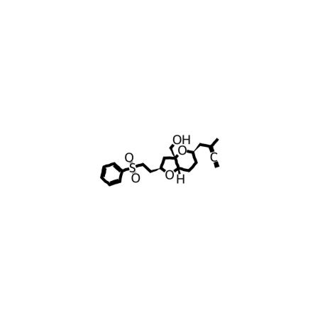 C=C=C(C)C[C@H]1CC[C@@H]2O[C@@H](CCS(=O)(=O)c3ccccc3)C[C@]2(CO)O1